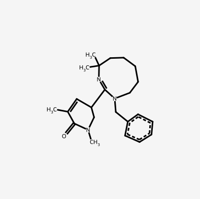 CC1=CC(/C2=N/C(C)(C)CCCCCN2Cc2ccccc2)CN(C)C1=O